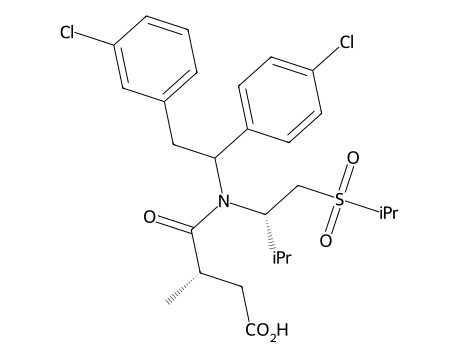 CC(C)[C@@H](CS(=O)(=O)C(C)C)N(C(=O)[C@@H](C)CC(=O)O)C(Cc1cccc(Cl)c1)c1ccc(Cl)cc1